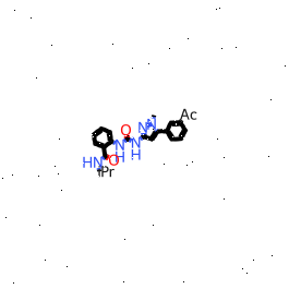 CC(=O)c1cccc(-c2cc(NC(=O)Nc3ccccc3C(=O)NC(C)C)nn2C)c1